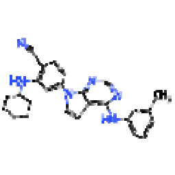 Cc1cccc(Nc2ncnc3c2ccn3-c2ccc(C#N)c(NC3CCCCC3)c2)c1